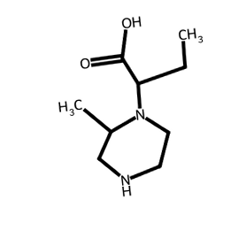 CCC(C(=O)O)N1CCNCC1C